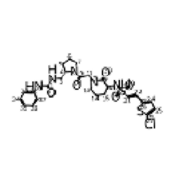 O=C(NC[C@H]1CCCN1C(=O)CN1CCC[C@H](NS(=O)(=O)/C=C/c2ccc(Cl)s2)C1=O)Nc1ccccc1